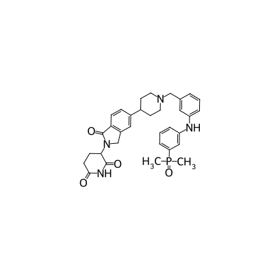 CP(C)(=O)c1cccc(Nc2cccc(CN3CCC(c4ccc5c(c4)CN(C4CCC(=O)NC4=O)C5=O)CC3)c2)c1